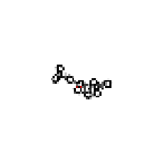 c1ccc(-c2ccccc2N(c2ccc(-c3ccc(-n4c5ccccc5c5ccccc54)cc3)cc2)c2cccc3c2c2ccccc2n3-c2ccccc2)cc1